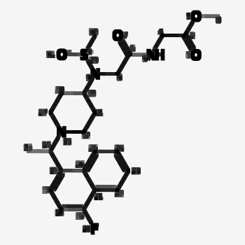 COC(=O)CNC(=O)CN(C1CCN(C(C)c2ccc(F)c3ccccc23)CC1)[S+](C)[O-]